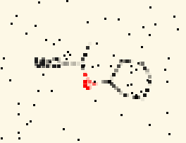 COC(C)OC1CCCCC1